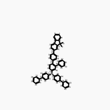 CC1(C)c2ccccc2-c2ccc(-c3ccc(-c4ccc(N(c5ccc(-c6ccccc6)cc5)c5ccc(-c6ccccc6)cc5)cc4-c4ccccc4)cc3)cc21